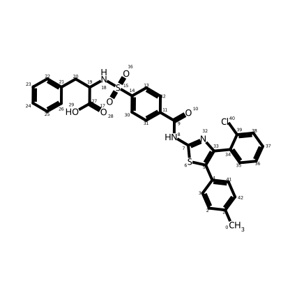 Cc1ccc(-c2sc(NC(=O)c3ccc(S(=O)(=O)NC(Cc4ccccc4)C(=O)O)cc3)nc2-c2ccccc2Cl)cc1